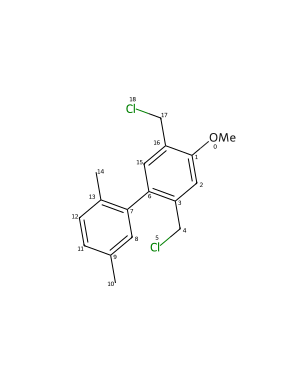 COc1cc(CCl)c(-c2cc(C)ccc2C)cc1CCl